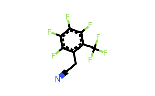 N#CCc1c(F)c(F)c(F)c(F)c1C(F)(F)F